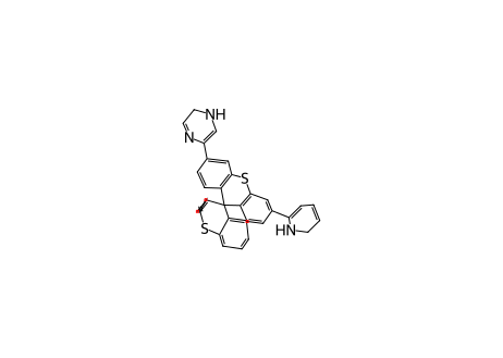 C1=CCNC(c2ccc3c(c2)Sc2cc(C4=CNCC=N4)ccc2C32c3ccccc3Sc3ccccc32)=C1